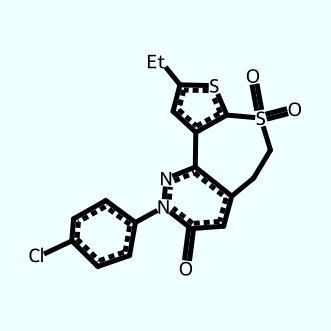 CCc1cc2c(s1)S(=O)(=O)CCc1cc(=O)n(-c3ccc(Cl)cc3)nc1-2